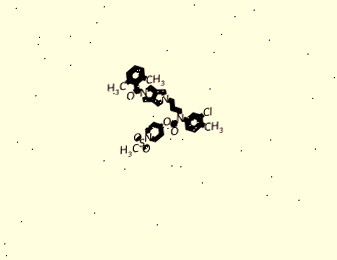 Cc1ccc(N(CCCN2CC3CN(C(=O)c4c(C)cccc4C)CC3C2)C(=O)OC2CCN(S(C)(=O)=O)CC2)cc1Cl